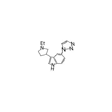 CCN1CCC(c2c[nH]c3ccc(-n4ccnn4)cc23)C1